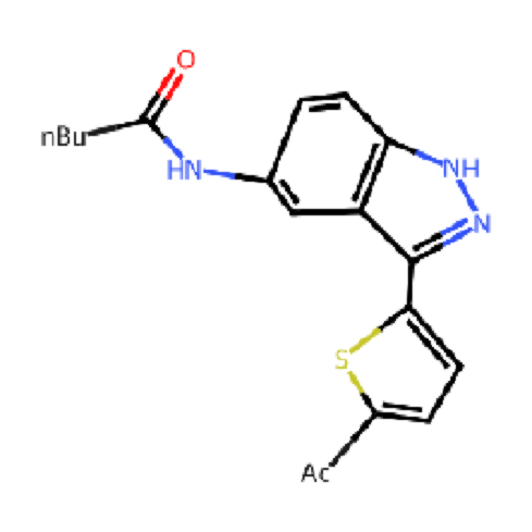 CCCCC(=O)Nc1ccc2[nH]nc(-c3ccc(C(C)=O)s3)c2c1